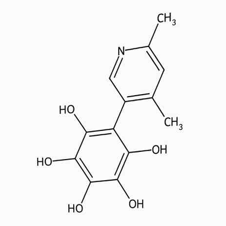 Cc1cc(C)c(-c2c(O)c(O)c(O)c(O)c2O)cn1